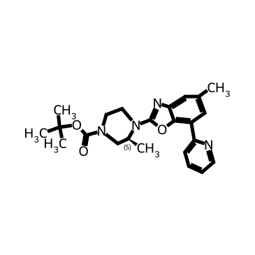 Cc1cc(-c2ccccn2)c2oc(N3CCN(C(=O)OC(C)(C)C)C[C@@H]3C)nc2c1